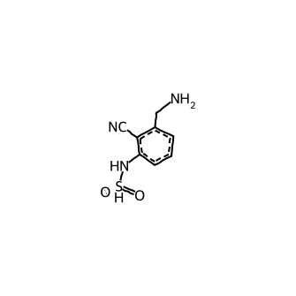 N#Cc1c(CN)cccc1N[SH](=O)=O